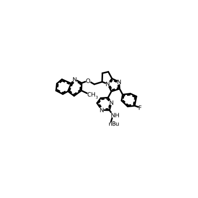 CCCCNc1nccc(-c2c(-c3ccc(F)cc3)nc3n2C(COc2nc4ccccc4cc2C)CC3)n1